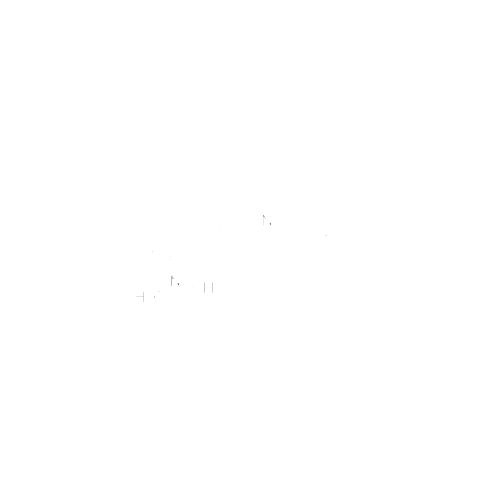 CN(C)C(=O)C1=CC2(CCN(CC3CC4C=CC3C4)CC2)c2ccccc21